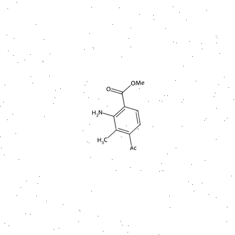 COC(=O)c1ccc(C(C)=O)c(C)c1N